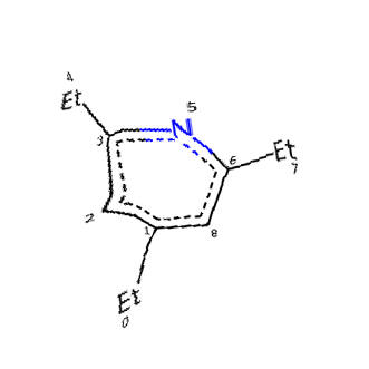 CCc1cc(CC)nc(CC)c1